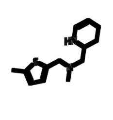 Cc1ccc(CN(C)CC2CCC=CN2)s1